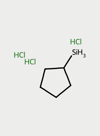 Cl.Cl.Cl.[SiH3]C1CCCC1